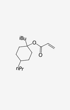 C=CC(=O)OC1(C(C)CC)CCC(CCC)CC1